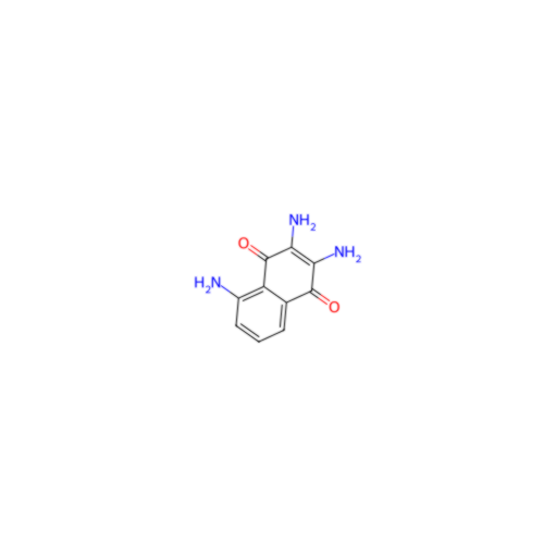 NC1=C(N)C(=O)c2c(N)cccc2C1=O